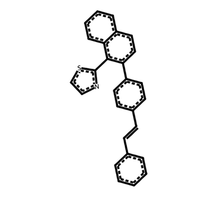 C(=Cc1ccc(-c2ccc3ccccc3c2-c2nccs2)cc1)c1ccccc1